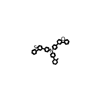 CC1CCCCC1c1ccc(N(c2ccc(-c3ccc4sc5ccccc5c4c3)cc2)c2ccc(C3C=c4c(oc5ccccc45)=CC3)cc2)cc1